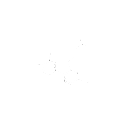 CCCCc1cc(-c2ccc(O)cc2CCC[SiH](C)C)ccc1C(=O)O